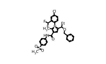 CCC(OCc1ccccc1)c1cc(C(=O)Nc2ccc(S(C)(=O)=O)cc2)c(C)n1-c1ccc(Cl)cc1C(F)F